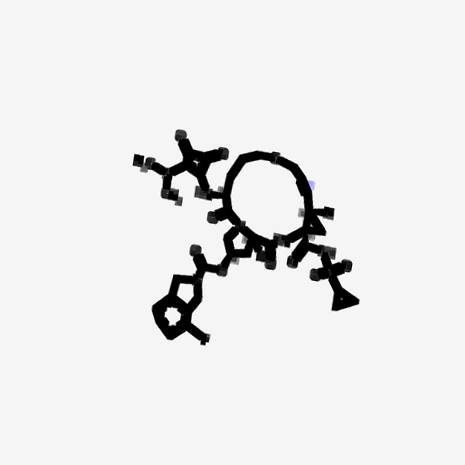 CN(C)c1c(N[C@H]2CCCCC/C=C\[C@@H]3C[C@@]3(C(=O)NS(=O)(=O)C3CC3)NC(=O)[C@@H]3C[C@@H](OC(=O)N4Cc5cccc(F)c5C4)CN3C2=O)c(=O)c1=O